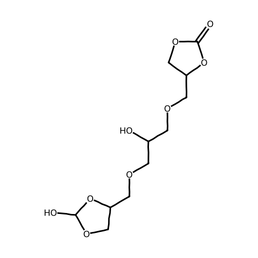 O=C1OCC(COCC(O)COCC2COC(O)O2)O1